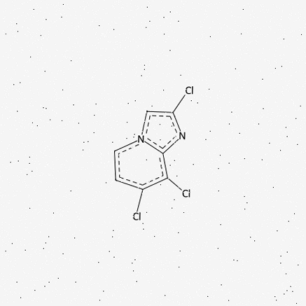 Clc1cn2ccc(Cl)c(Cl)c2n1